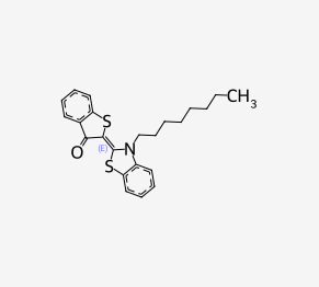 CCCCCCCCN1/C(=C2\Sc3ccccc3C2=O)Sc2ccccc21